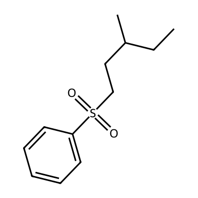 CCC(C)CCS(=O)(=O)c1ccccc1